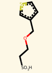 O=S(=O)(O)CCOCc1ccsc1